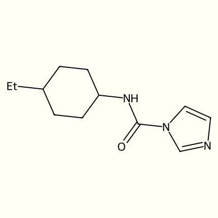 CCC1CCC(NC(=O)n2ccnc2)CC1